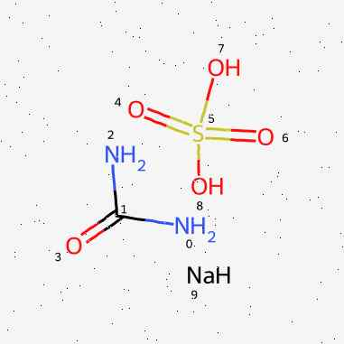 NC(N)=O.O=S(=O)(O)O.[NaH]